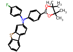 CC1(C)OB(c2ccc(N(c3ccc(F)cc3)c3ccc4c(c3)sc3ccccc34)cc2)OC1(C)C